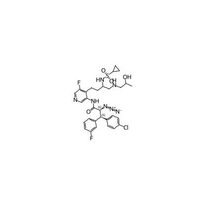 CC(O)CNCC(CCc1c(F)cncc1NC(=O)[C@@H](N=[N+]=[N-])[C@@H](c1ccc(Cl)cc1)c1cccc(F)c1)NS(=O)(=O)C1CC1